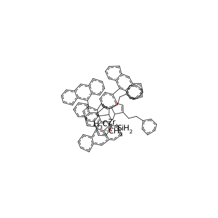 [CH3][Zr]([CH3])(=[SiH2])([CH]1C(CCc2ccccc2)=Cc2c(-c3c4ccccc4cc4ccccc34)ccc(-c3c4ccccc4cc4ccccc34)c21)[CH]1C(CCc2ccccc2)=Cc2c(-c3c4ccccc4cc4ccccc34)ccc(-c3c4ccccc4cc4ccccc34)c21